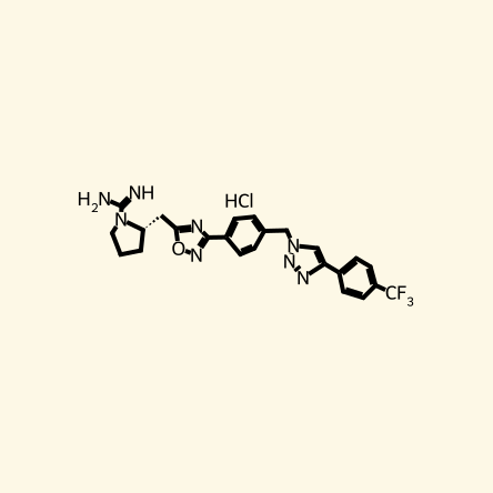 Cl.N=C(N)N1CCC[C@H]1Cc1nc(-c2ccc(Cn3cc(-c4ccc(C(F)(F)F)cc4)nn3)cc2)no1